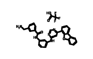 NCc1cccc(C(=O)Nc2cccc(Nc3cc(-c4cccc5c4oc4ccccc45)ncn3)c2)c1.O=C(O)C(F)(F)F